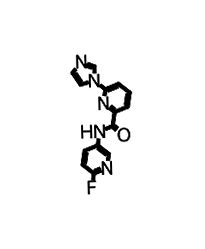 O=C(Nc1ccc(F)nc1)c1cccc(-n2ccnc2)n1